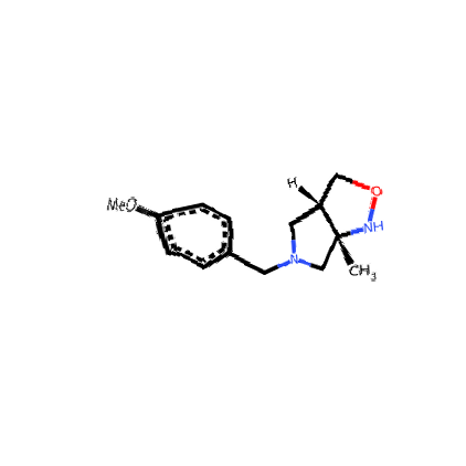 COc1ccc(CN2C[C@@H]3CON[C@]3(C)C2)cc1